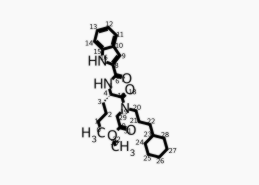 CCCC[C@H](NC(=O)c1cc2ccccc2[nH]1)C(=O)N(CCCC1CCCCC1)CC(=O)OC